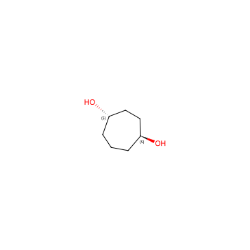 O[C@H]1CCC[C@H](O)CC1